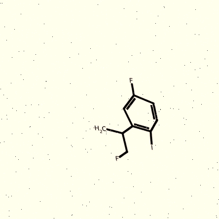 [CH2]C(CF)c1cc(F)ccc1I